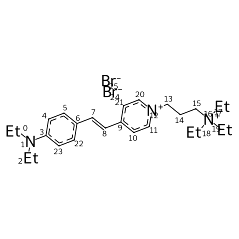 CCN(CC)c1ccc(C=Cc2cc[n+](CCC[N+](CC)(CC)CC)cc2)cc1.[Br-].[Br-]